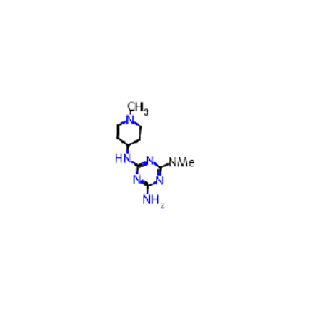 CNc1nc(N)nc(NC2CCN(C)CC2)n1